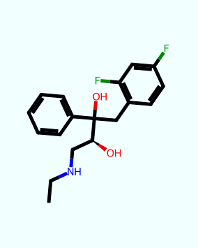 CCNC[C@H](O)C(O)(Cc1ccc(F)cc1F)c1ccccc1